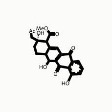 COC(=O)C1C2=CC3=C(C(=O)c4c(O)cccc4C3=O)C(O)C2CC[C@@]1(O)CC(C)=O